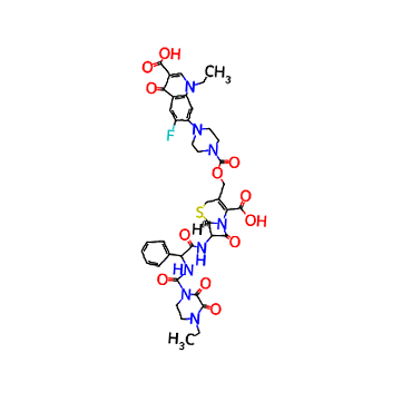 CCN1CCN(C(=O)NC(C(=O)NC2C(=O)N3C(C(=O)O)=C(COC(=O)N4CCN(c5cc6c(cc5F)c(=O)c(C(=O)O)cn6CC)CC4)CS[C@H]23)c2ccccc2)C(=O)C1=O